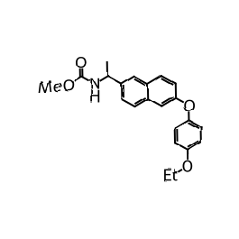 CCOc1ccc(Oc2ccc3cc(C(C)NC(=O)OC)ccc3c2)cc1